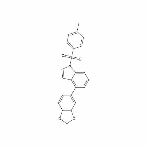 Cc1ccc(S(=O)(=O)n2ccc3c(-c4ccc5c(c4)OCO5)cccc32)cc1